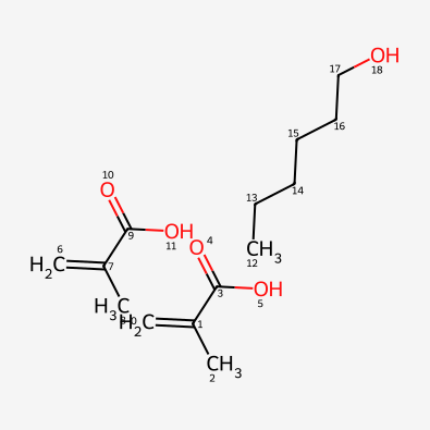 C=C(C)C(=O)O.C=C(C)C(=O)O.CCCCCCO